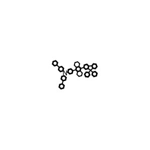 c1ccc(-c2ccc(N(c3ccc(-c4ccccc4)cc3)c3ccc(-c4c5c(c(-c6ccc7c(c6)C(c6ccccc6)(c6ccccc6)c6ccccc6-7)c6c4CCCC6)CCCC5)cc3)cc2)cc1